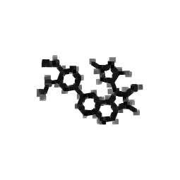 COc1ncc(-c2ccc3ncc4c(c3c2)n(-c2cn(C)nc2C)c(=O)n4C)cc1OC(C)C